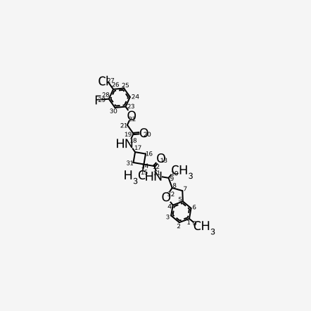 Cc1ccc2c(c1)CC(C(C)NC(=O)C1(C)CC(NC(=O)COc3ccc(Cl)c(F)c3)C1)O2